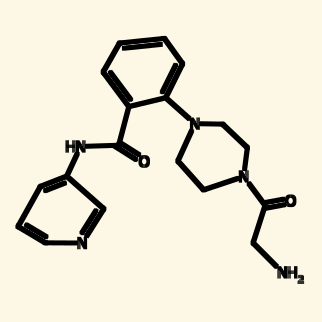 NCC(=O)N1CCN(c2ccccc2C(=O)Nc2cccnc2)CC1